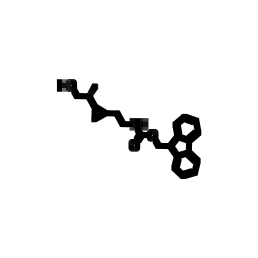 C[C@H](CO)C1CC1CCNC(=O)OCC1c2ccccc2-c2ccccc21